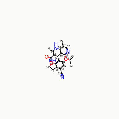 CC1=C(C(N)=O)C(c2ccc(C#N)c3c2OCC3)c2c(OC(C)C)ncc(C)c2N1